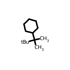 CC(C)(C)C(C)(C)C1CCCCC1